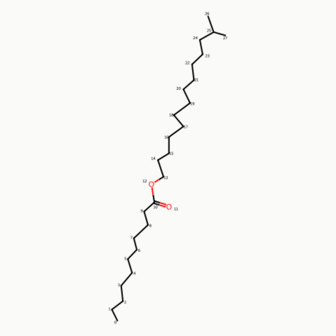 CCCCCCCCCCC(=O)OCCCCCCCCCCCCC(C)C